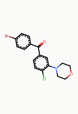 O=C(c1ccc(Br)cc1)c1ccc(Cl)c(N2CCOCC2)c1